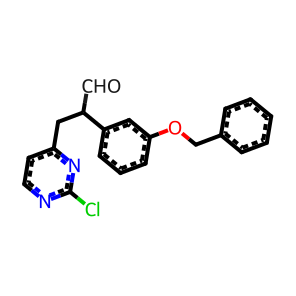 O=CC(Cc1ccnc(Cl)n1)c1cccc(OCc2ccccc2)c1